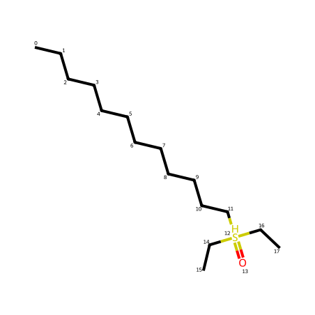 CCCCCCCCCCCC[SH](=O)(CC)CC